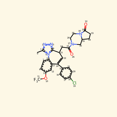 Cc1nnc2n1-c1ccc(OC(F)(F)F)cc1C(c1ccc(Cl)cc1)=CC2CC(=O)N1CCN2C(=O)CCC2C1